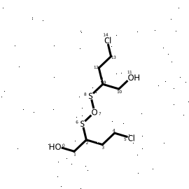 OCC(CCCl)SOSC(CO)CCCl